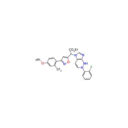 CCCOc1ccc(-c2cc(C(C(=O)OCC)n3cnc4c3C=CN(c3ccccc3F)N4)on2)c(C(F)(F)F)c1